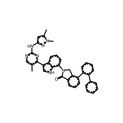 Cc1cnc(Nc2cc(C)n(C)n2)nc1-c1c[nH]c2c(N3Cc4c(cccc4-c4ccccc4-c4ccccc4)C3=O)cccc12